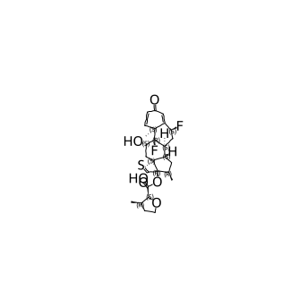 C[C@@H]1CCO[C@@H]1C(=O)O[C@]1(C(O)=S)[C@H](C)C[C@H]2[C@@H]3C[C@H](F)C4=CC(=O)C=C[C@]4(C)[C@@]3(F)[C@@H](O)C[C@@]21C